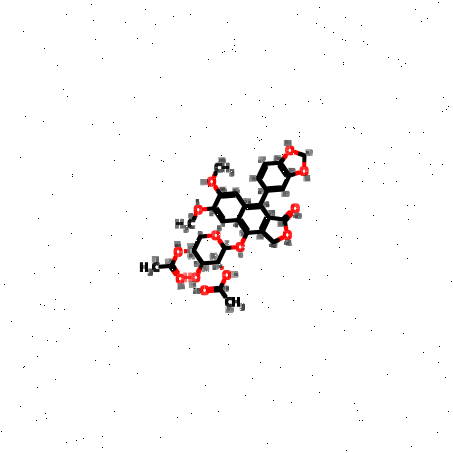 COc1cc2c(OC3OC[C@@H](OC(C)=O)[C@H](O)[C@H]3OC(C)=O)c3c(c(-c4ccc5c(c4)OCO5)c2cc1OC)C(=O)OC3